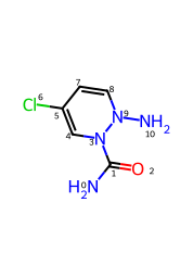 NC(=O)N1C=C(Cl)C=CN1N